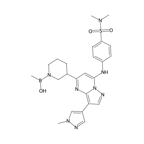 CB(O)N1CCCC(c2cc(Nc3ccc(S(=O)(=O)N(C)C)cc3)n3ncc(-c4cnn(C)c4)c3n2)C1